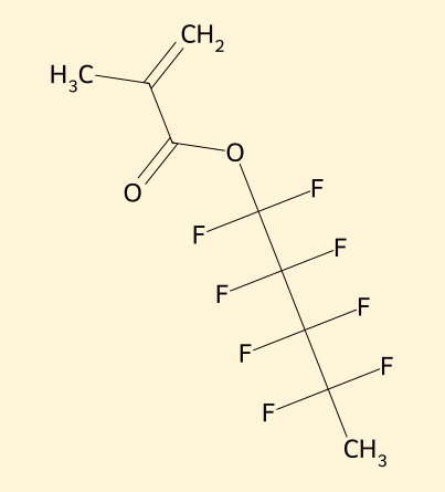 C=C(C)C(=O)OC(F)(F)C(F)(F)C(F)(F)C(C)(F)F